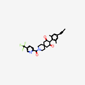 CC#Cc1cc(C)c(C2C(=O)CC3(CCN(C(=O)c4ccc(C(F)(F)F)cn4)CC3)CC2=O)c(C)c1